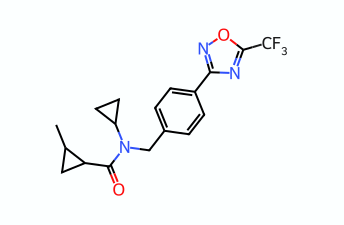 CC1CC1C(=O)N(Cc1ccc(-c2noc(C(F)(F)F)n2)cc1)C1CC1